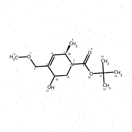 COCC1=C[C@@H](C)N(C(=O)OC(C)(C)C)CC1O